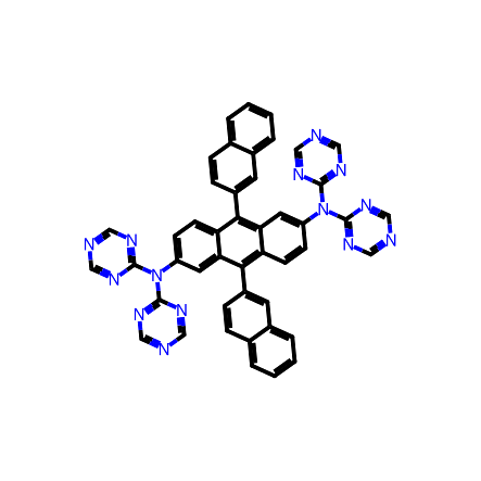 c1ccc2cc(-c3c4ccc(N(c5ncncn5)c5ncncn5)cc4c(-c4ccc5ccccc5c4)c4ccc(N(c5ncncn5)c5ncncn5)cc34)ccc2c1